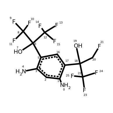 Nc1cc(N)c(C(O)(C(F)(F)F)C(F)(F)F)cc1C(O)(CF)C(F)(F)F